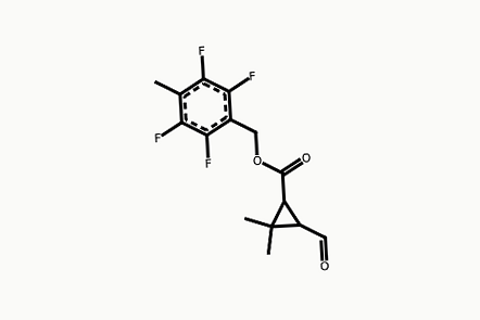 Cc1c(F)c(F)c(COC(=O)C2C(C=O)C2(C)C)c(F)c1F